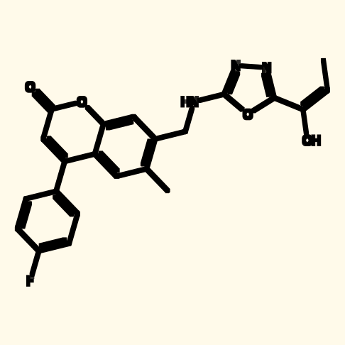 C/C=C(/O)c1nnc(NCc2cc3oc(=O)cc(-c4ccc(F)cc4)c3cc2C)o1